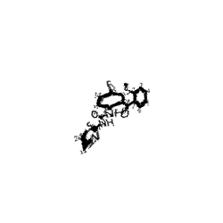 CSc1ccccc1C(=O)c1cc(F)ccc1NC(=O)Nc1nccs1